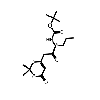 CCC[C@H](NC(=O)OC(C)(C)C)C(=O)CC1=CC(=O)OC(C)(C)O1